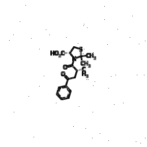 C[C@H](CC(=O)c1ccccc1)C(=O)N1[C@H](C(=O)O)CSC1(C)C